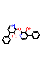 Oc1c(-c2ccccc2)ccnc1Oc1nccc(-c2ccccc2)c1O